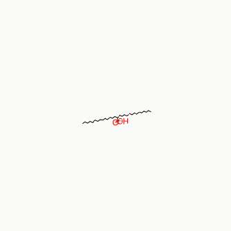 CCCCCCCCCCCCCCC(CCCCCCCCCCCCCC)C(=O)O